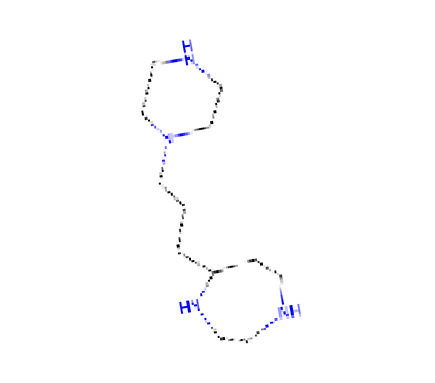 [CH](CCN1CCNCC1)C1CCNCCN1